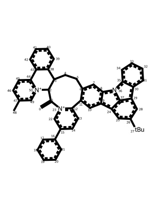 C=C1C2C(CCc3cc4c(cc3-c3ccc(-c5ccccc5)c[n+]31)c1cc(C(C)(C)C)cc3c5ccccc5n4c31)c1ccccc1-c1ccc(C)c[n+]12